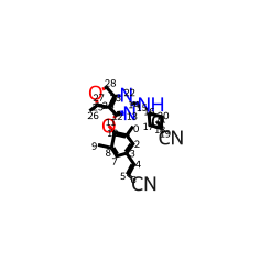 Cc1cc(/C=C/C#N)cc(C)c1Oc1nc(NC23CC(C#N)(C2)C3)nc2c1C(C)OC2